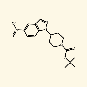 CC(C)(C)OC(=O)N1CCC(n2ncc3cc([N+](=O)[O-])ccc32)CC1